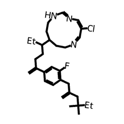 C=C(Cc1ccc(C(=C)CCC(CC)C2CC\N=C/C(Cl)=C\N=C\NCC2)cc1F)CC(C)(C)CC